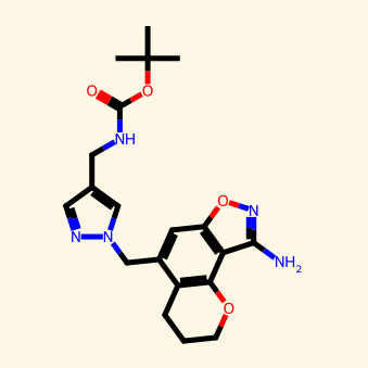 CC(C)(C)OC(=O)NCc1cnn(Cc2cc3onc(N)c3c3c2CCCO3)c1